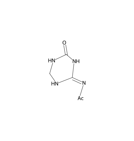 CC(=O)N=C1NCNC(=O)N1